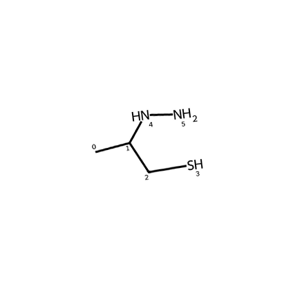 CC(CS)NN